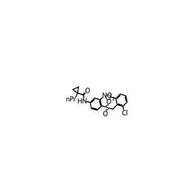 CCCC1(C(=O)Nc2ccc(S(=O)(=O)Cc3c(Cl)cccc3Cl)c([N+](=O)[O-])c2)CC1